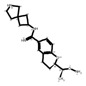 C[C@H](ON)[C@H]1CCc2cc(C(=N)NC3CC4(CCNC4)C3)ccc2O1